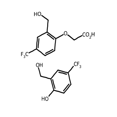 O=C(O)COc1ccc(C(F)(F)F)cc1CO.OCc1cc(C(F)(F)F)ccc1O